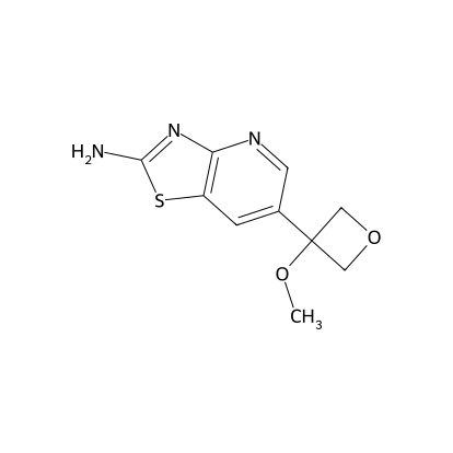 COC1(c2cnc3nc(N)sc3c2)COC1